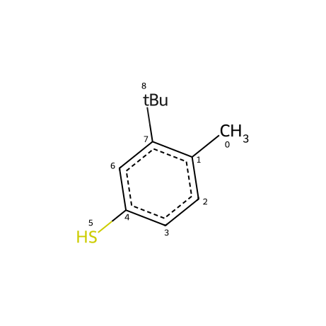 Cc1ccc(S)cc1C(C)(C)C